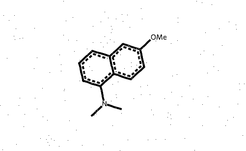 COc1ccc2c(N(C)C)cccc2c1